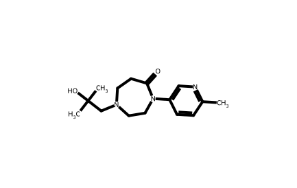 Cc1ccc(N2CCN(CC(C)(C)O)CCC2=O)cn1